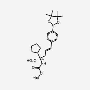 CC(C)(C)OC(=O)N[C@@](CC=Cc1ccc(B2OC(C)(C)C(C)(C)O2)cc1)(C(=O)O)C1CCCC1